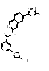 Cc1nnc(-c2ccc3cnc(NC(=O)c4ccnc(N5CC(N)C5)c4)cc3c2)s1